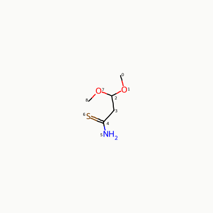 COC(CC(N)=S)OC